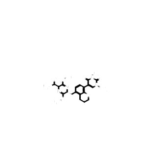 COC1=N[C@@H](Cc2ccc(-c3cn(C)c(=O)n(C)c3=O)c3c2CCCO3)C(OC)=NC1C(C)C